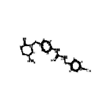 C[C@H]1CCC(=O)N(Cc2ccc(NC(=O)NCc3ccc(Cl)cc3)cc2)C1